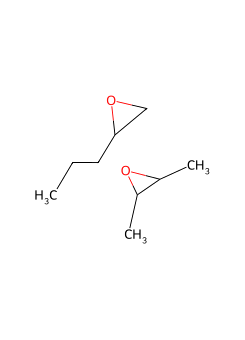 CC1OC1C.CCCC1CO1